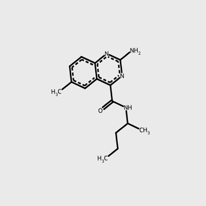 CCCC(C)NC(=O)c1nc(N)nc2ccc(C)cc12